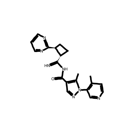 Cc1ccncc1-n1ncc(C(=O)NC(=N)[C@H]2CC[C@@H]2c2ncccn2)c1C